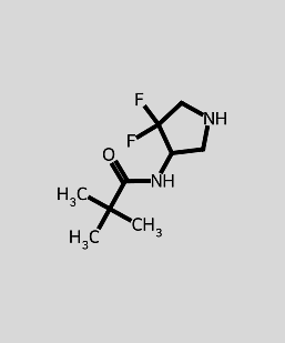 CC(C)(C)C(=O)NC1CNCC1(F)F